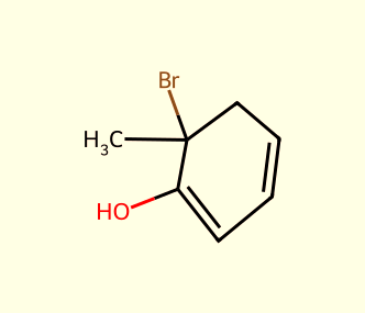 CC1(Br)CC=CC=C1O